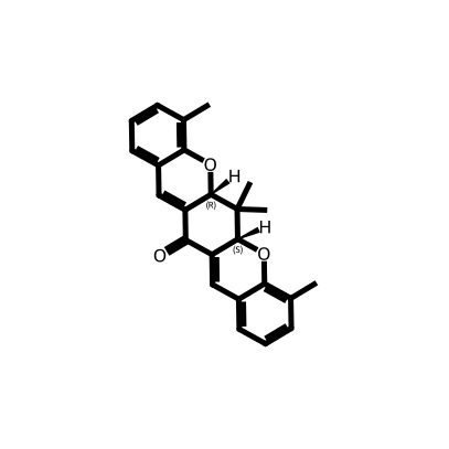 Cc1cccc2c1O[C@@H]1C(=C2)C(=O)C2=Cc3cccc(C)c3O[C@@H]2C1(C)C